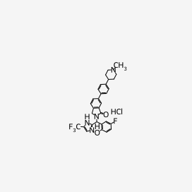 CN1CCC(c2ccc(-c3ccc4c(c3)C(=O)N(C(c3ncc(C(F)(F)F)[nH]3)c3cc(F)ccc3O)C4)cc2)CC1.Cl